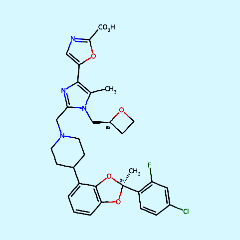 Cc1c(-c2cnc(C(=O)O)o2)nc(CN2CCC(c3cccc4c3O[C@@](C)(c3ccc(Cl)cc3F)O4)CC2)n1C[C@@H]1CCO1